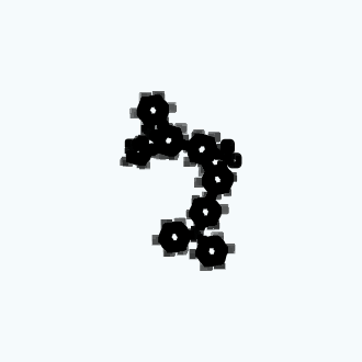 O=S1(=O)c2ccc(-c3ccc(N(c4ccccc4)c4ccccc4)cc3)cc2-c2cc(-c3cc4c5ccccc5n5c6sccc6c(c3)c45)ccc21